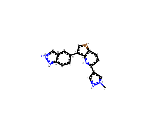 Cn1cc(-c2ccc3scc(-c4ccc5n[nH]cc5c4)c3n2)cn1